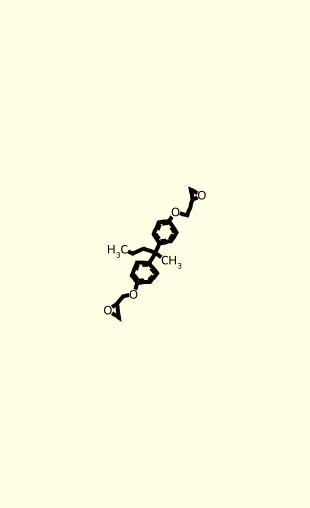 CCCC(C)(c1ccc(OCC2CO2)cc1)c1ccc(OCC2CO2)cc1